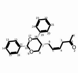 CC(=O)C/C=C\C[C@@H]1CO[C@H](c2ccccc2)O[C@@H]1c1ccccc1